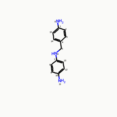 Nc1ccc(CNc2ccc(N)cc2)cc1